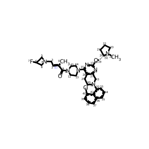 C/C(=C\CN1CC(F)C1)C(=O)N1CCN(c2nc(OC[C@@H]3CCCN3C)nc3c2CCN(c2cccc4cccc(Cl)c24)C3)CC1